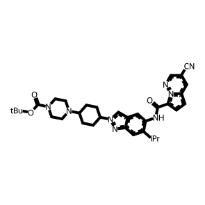 CC(C)c1cc2nn(C3CCC(N4CCN(C(=O)OC(C)(C)C)CC4)CC3)cc2cc1NC(=O)c1ccc2cc(C#N)cnn12